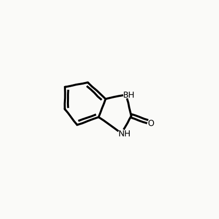 O=C1Bc2ccccc2N1